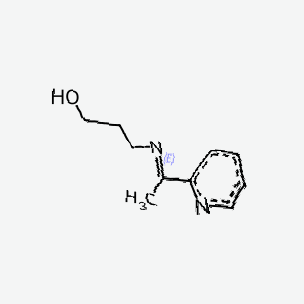 C/C(=N\CCCO)c1ccccn1